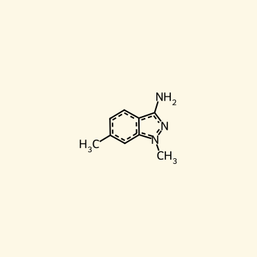 Cc1ccc2c(N)nn(C)c2c1